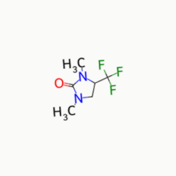 CN1CC(C(F)(F)F)N(C)C1=O